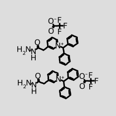 NNC(=O)Cc1ccc[n+](C(c2ccccc2)c2ccccc2)c1.NNC(=O)Cc1ccc[n+](C(c2ccccc2)c2ccccc2)c1.O=C([O-])C(F)(F)F.O=C([O-])C(F)(F)F